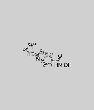 O=C(NO)c1ccc2nc(-c3ccsc3)sc2c1